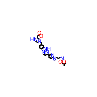 COC(=O)CC1CN(Cc2cccc(Nc3nccc(-c4ccc(N(C)CCCN(C)C(=O)OC(C)(C)C)nc4)n3)c2)CCN1